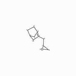 C1CC2CC1=C(CC1CO1)C2